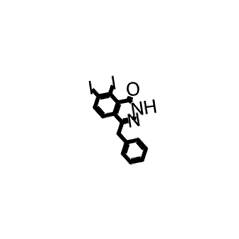 O=c1[nH]nc(Cc2ccccc2)c2ccc(I)c(I)c12